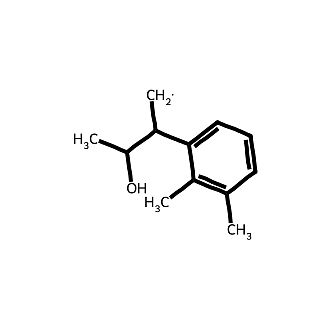 [CH2]C(c1cccc(C)c1C)C(C)O